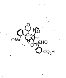 COc1ccccc1C(CN(C)c1sc(-c2ncco2)c(C)c1C(=O)N(C=O)c1cccc(C(=O)O)c1)OC1CCOCC1